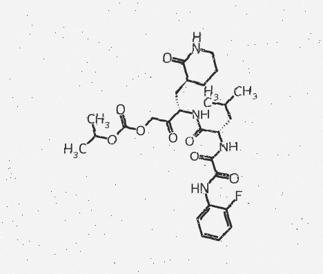 CC(C)C[C@H](NC(=O)C(=O)Nc1ccccc1F)C(=O)N[C@@H](C[C@@H]1CCCNC1=O)C(=O)COC(=O)OC(C)C